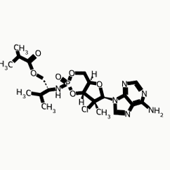 CC(C)C(=O)OC[C@H](NP1(=O)OC[C@H]2O[C@@H](n3cnc4c(N)ncnc43)[C@](C)(Cl)[C@@H]2O1)C(C)C